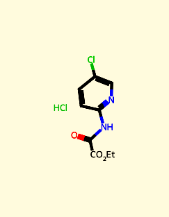 CCOC(=O)C(=O)Nc1ccc(Cl)cn1.Cl